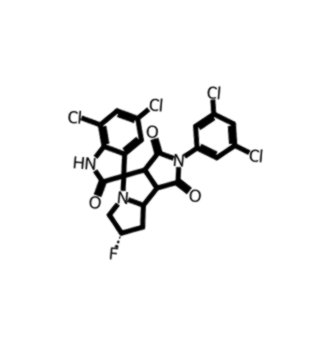 O=C1C2C3C[C@H](F)CN3C3(C(=O)Nc4c(Cl)cc(Cl)cc43)C2C(=O)N1c1cc(Cl)cc(Cl)c1